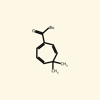 CCC(C)C(=O)C1=CC=CC(C)(C)C=C1